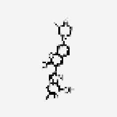 Cc1cn2cc(-c3cc4ccc(N5CCN(C)[C@H](C)C5)cc4oc3=O)nc2c(O)n1